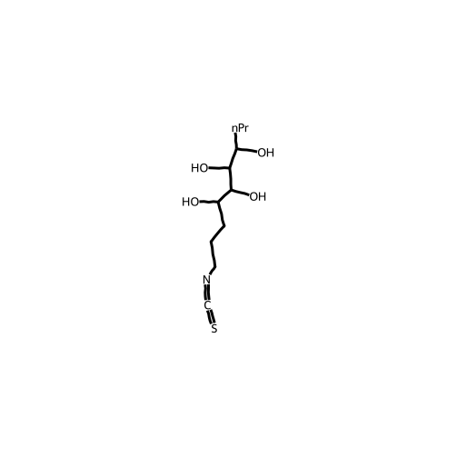 CCCC(O)C(O)C(O)C(O)CCCN=C=S